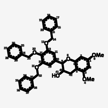 COc1cc(OC)c2c(c1)OC(c1cc(OCc3ccccc3)c(OCc3ccccc3)c(OCc3ccccc3)c1)C(O)C2